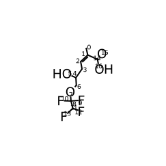 CC(=CCC(O)COC(F)(F)C(F)F)C(=O)O